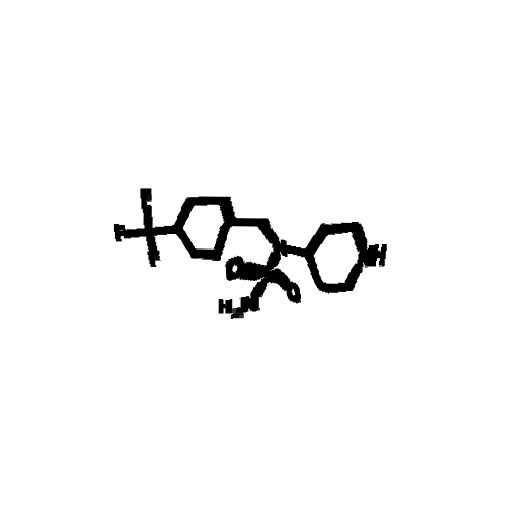 NS(=O)(=O)N(CC1CCC(C(F)(F)F)CC1)C1CCNCC1